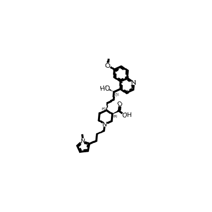 COc1ccc2nccc([C@@H](O)CC[C@@H]3CCN(CCCc4cccn4C)C[C@@H]3C(=O)O)c2c1